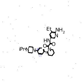 C=C(/C=C\C(=C/C)N1CCN(C(C)C)CC1)[C@@H]1CCCCN1C(=O)C(=O)Nc1cnc(N)c(CC)c1